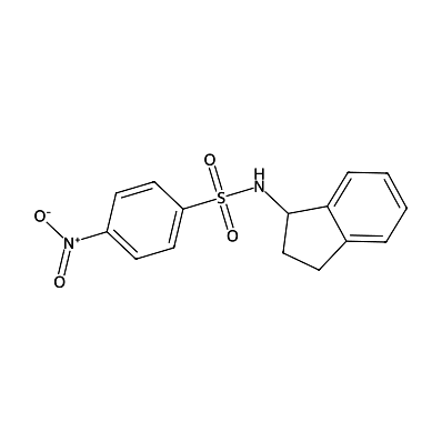 O=[N+]([O-])c1ccc(S(=O)(=O)NC2CCc3ccccc32)cc1